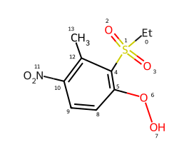 CCS(=O)(=O)c1c(OO)ccc([N+](=O)[O-])c1C